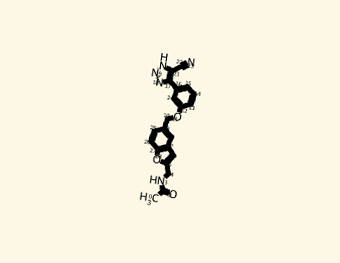 CC(=O)NCc1cc2cc(COc3cccc(-c4nn[nH]c4C#N)c3)ccc2o1